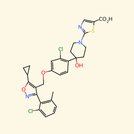 Cc1cccc(Cl)c1-c1noc(C2CC2)c1COc1ccc(C2(O)CCN(c3ncc(C(=O)O)s3)CC2)c(Cl)c1